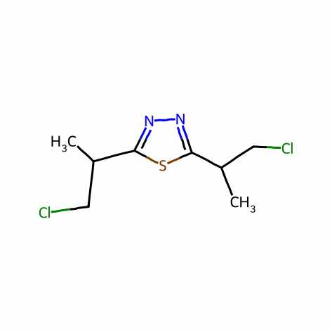 CC(CCl)c1nnc(C(C)CCl)s1